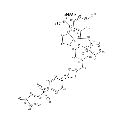 CNC(=O)OC1CCCC1C(Cn1ccnc1C)(c1cccc(F)c1)C1CCN(CC2CN(c3ccc(S(=O)(=O)c4cnn(C)c4)cc3)C2)CC1